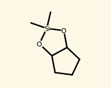 C[Si]1(C)OC2CCCC2O1